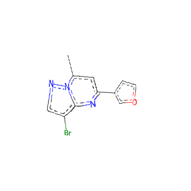 Cc1cc(-c2ccoc2)nc2c(Br)cnn12